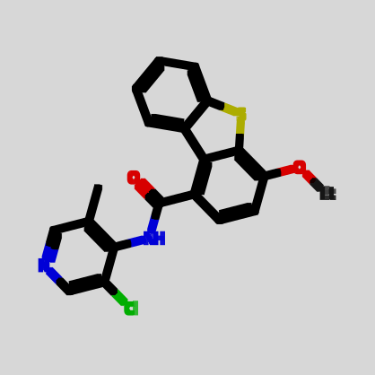 CCOc1ccc(C(=O)Nc2c(C)cncc2Cl)c2c1sc1ccccc12